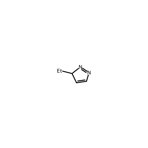 CCC1C=CN=N1